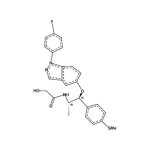 CSc1ccc([C@H](Oc2ccc3c(cnn3-c3ccc(F)cc3)c2)[C@H](C)NC(=O)CO)cc1